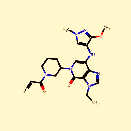 C=CC(=O)N1CCCC(n2cc(Nc3cn(C)nc3OC)c3ncn(CC)c3c2=O)C1